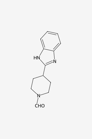 O=CN1CCC(c2nc3ccccc3[nH]2)CC1